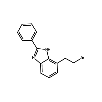 BrCCc1cccc2nc(-c3ccccc3)[nH]c12